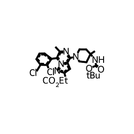 CCOC(=O)c1cc2c(N3CCC(C)(NC(=O)OC(C)(C)C)CC3)nc(C)c(-c3cccc(Cl)c3Cl)n2n1